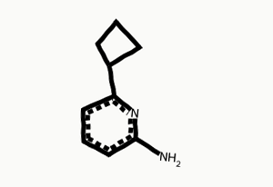 Nc1cccc(C2CCC2)n1